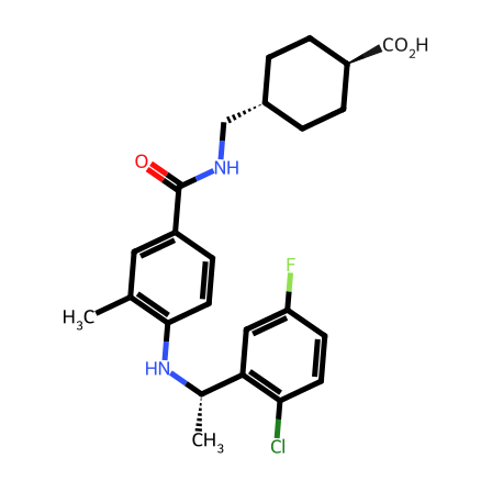 Cc1cc(C(=O)NC[C@H]2CC[C@H](C(=O)O)CC2)ccc1N[C@@H](C)c1cc(F)ccc1Cl